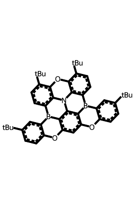 CC(C)(C)c1ccc2c(c1)B1c3ccc(C(C)(C)C)c4c3N3c5c(ccc(C(C)(C)C)c5O4)B4c5cc(C(C)(C)C)ccc5Oc5cc(c1c3c54)O2